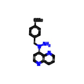 COc1ccc(CN(N)c2ccnc3cccnc23)cc1